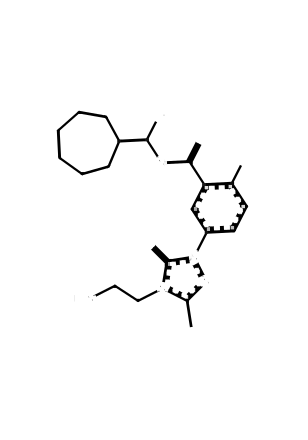 Cc1nn(-c2ccc(Cl)c(C(=O)NC(O)C3CCCCCC3)c2)c(=O)n1CCN